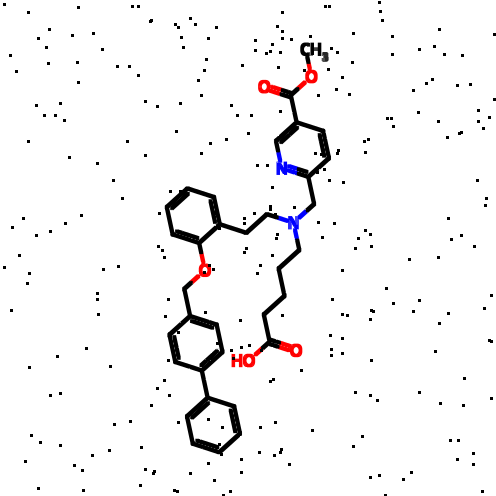 COC(=O)c1ccc(CN(CCCCC(=O)O)CCc2ccccc2OCc2ccc(-c3ccccc3)cc2)nc1